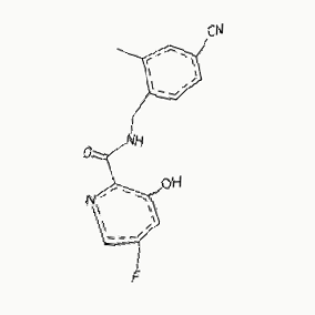 Cc1cc(C#N)ccc1CNC(=O)c1ncc(F)cc1O